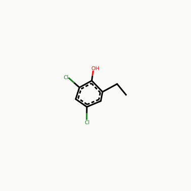 CCc1cc(Cl)cc(Cl)c1O